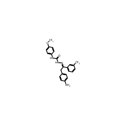 Nc1ccc(C/C(=N\NC(=O)Nc2ccc(OC(F)(F)F)cc2)c2cccc(C(F)(F)F)c2)cc1